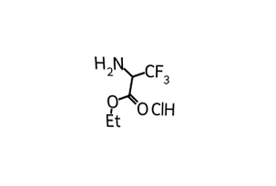 CCOC(=O)C(N)C(F)(F)F.Cl